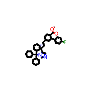 COC(=O)c1ccc(/C=C/Cc2cncn2C(c2ccccc2)(c2ccccc2)c2ccccc2)cc1-c1ccc(F)cc1